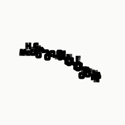 COC(=O)N(C)CCCC(=O)OC[C@@H]1CC(c2ccc(-c3ccc(N4C[C@H](Cn5ccnn5)OC4=O)cc3F)cn2)=NO1